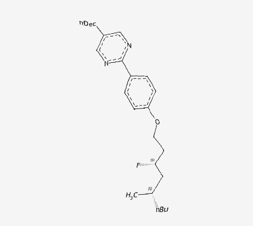 CCCCCCCCCCc1cnc(-c2ccc(OCC[C@@H](F)C[C@@H](C)CCCC)cc2)nc1